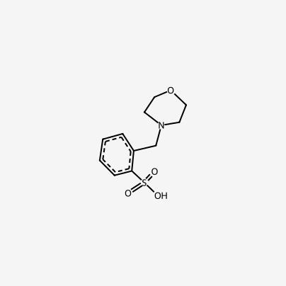 O=S(=O)(O)c1ccccc1CN1CCOCC1